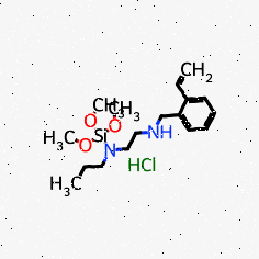 C=Cc1ccccc1CNCCN(CCC)[Si](OC)(OC)OC.Cl